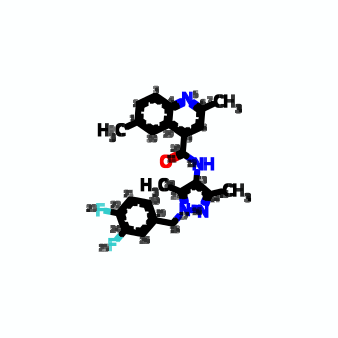 Cc1ccc2nc(C)cc(C(=O)Nc3c(C)nn(Cc4ccc(F)c(F)c4)c3C)c2c1